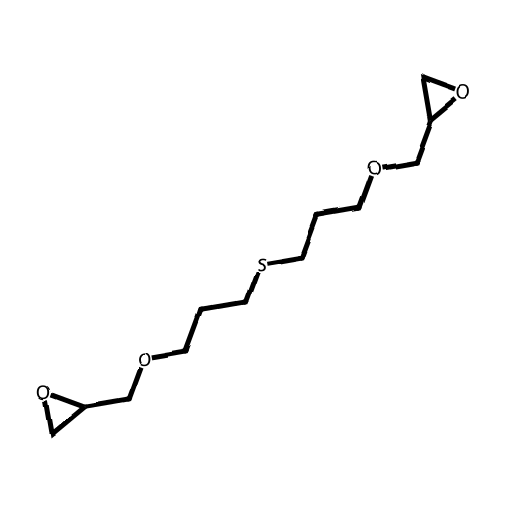 C(COCC1CO1)CSCCCOCC1CO1